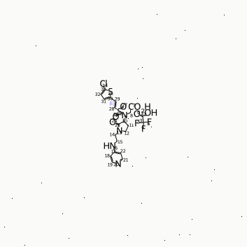 O=C(O)C(F)(F)F.O=C(O)CN(C1CCN(CCNc2ccncc2)C1=O)S(=O)(=O)/C=C/c1ccc(Cl)s1